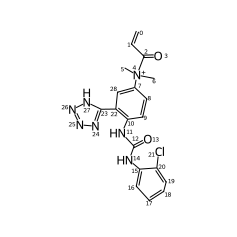 C=CC(=O)[N+](C)(C)c1ccc(NC(=O)Nc2ccccc2Cl)c(-c2nnn[nH]2)c1